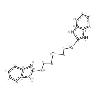 c1ccc2[nH]c(SCCOCCSc3nc4ccccc4[nH]3)nc2c1